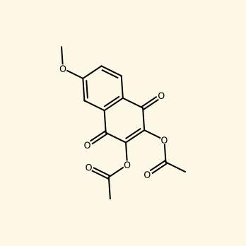 COc1ccc2c(c1)C(=O)C(OC(C)=O)=C(OC(C)=O)C2=O